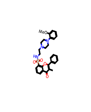 COc1ccccc1N1CCN(CCNS(=O)(=O)c2cccc3c(=O)c(C)c(-c4ccccc4)oc23)CC1